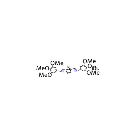 CCC(C)Oc1c(OC)cc(/C=C/c2ccc(/C=C/c3cc(OC)c(OC)c(OC)c3)s2)cc1OC